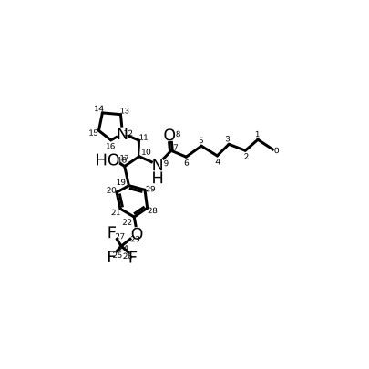 CCCCCCCC(=O)N[C@H](CN1CCCC1)C(O)c1ccc(OC(F)(F)F)cc1